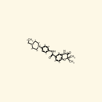 CCN1CCN(c2ccc(NC(=O)c3ccc4c(c3)NC(=O)C(C)(C)O4)cc2)CC1